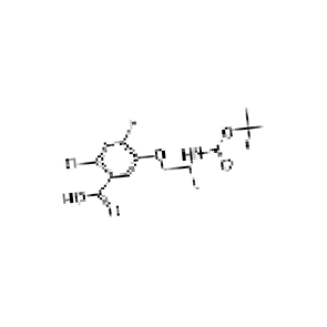 CC(COc1cc(C(=O)O)c(Cl)cc1F)NC(=O)OC(C)(C)C